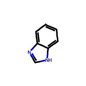 [c]1ccc2[nH]cnc2c1